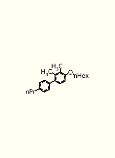 CCCCCCOc1ccc(-c2ccc(CCC)cc2)c(C)c1C